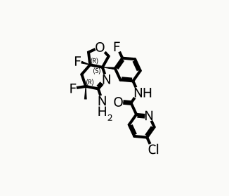 C[C@@]1(F)C[C@]2(F)COC[C@]2(c2cc(NC(=O)c3ccc(Cl)cn3)ccc2F)N=C1N